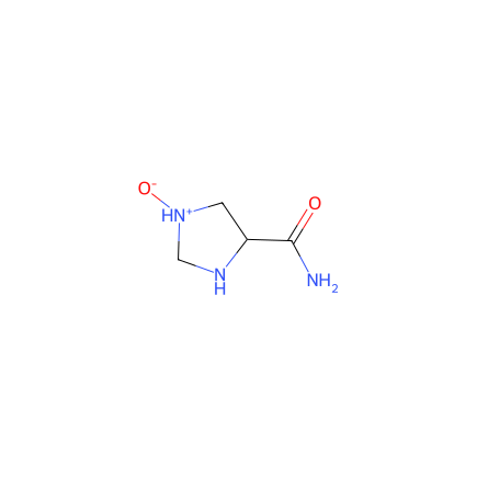 NC(=O)C1C[NH+]([O-])CN1